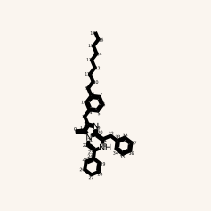 C=c1c(Cc2cccc(CCCCCCCCC)c2)nc2n1C=C(C1=CCCC=C1)NC=2Cc1ccccc1